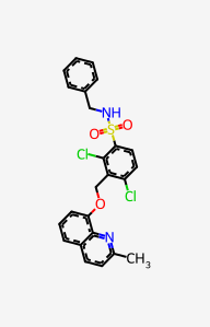 Cc1ccc2cccc(OCc3c(Cl)ccc(S(=O)(=O)NCc4ccccc4)c3Cl)c2n1